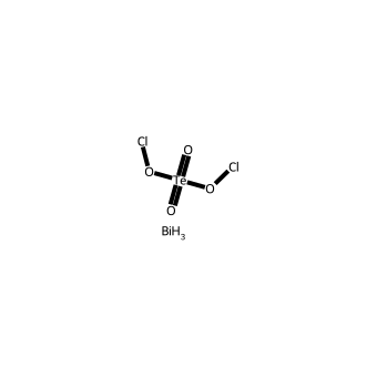 O=[Te](=O)(OCl)OCl.[BiH3]